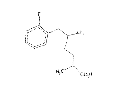 CC(CCC(C)C(=O)O)Cc1ccccc1F